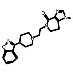 Cn1cnc2c1CCN(CCN1CCC(c3noc4ccccc34)CC1)C2=O